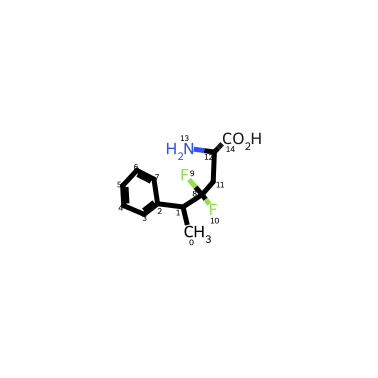 CC(c1ccccc1)C(F)(F)CC(N)C(=O)O